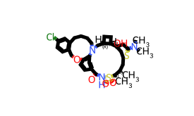 C[C@@H]1[C@@H](C)CCC[C@](O)(CC(=S)N(C)C)[C@@H]2CC[C@H]2CN2CCCCc3cc(Cl)ccc3COc3ccc(cc32)C(=O)NS1(=O)=O